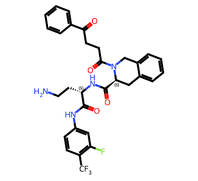 NCC[C@H](NC(=O)[C@@H]1Cc2ccccc2CN1C(=O)CCC(=O)c1ccccc1)C(=O)Nc1ccc(C(F)(F)F)c(F)c1